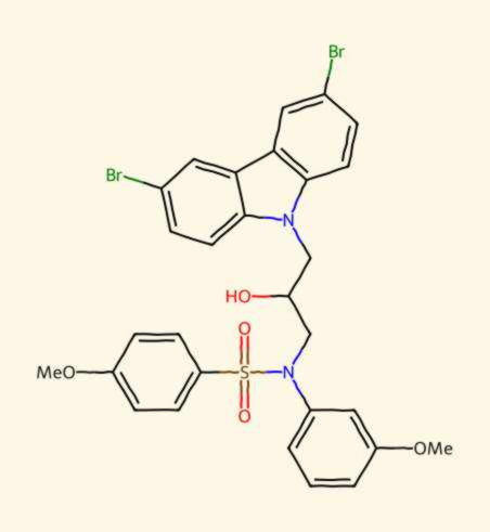 COc1ccc(S(=O)(=O)N(CC(O)Cn2c3ccc(Br)cc3c3cc(Br)ccc32)c2cccc(OC)c2)cc1